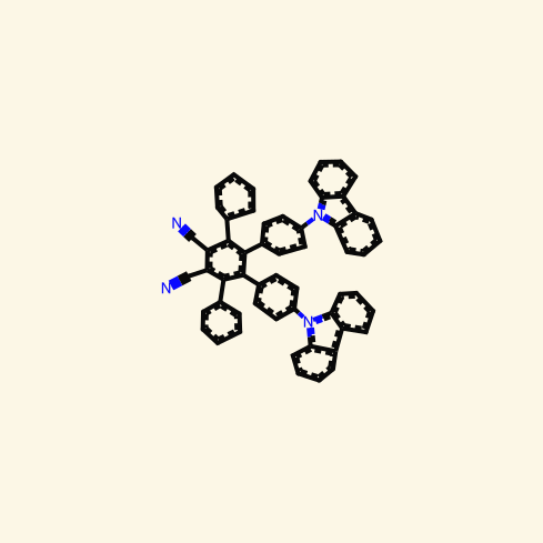 N#Cc1c(C#N)c(-c2ccccc2)c(-c2ccc(-n3c4ccccc4c4ccccc43)cc2)c(-c2ccc(-n3c4ccccc4c4ccccc43)cc2)c1-c1ccccc1